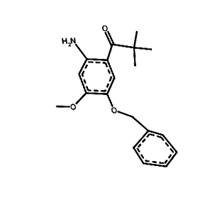 COc1cc(N)c(C(=O)C(C)(C)C)cc1OCc1ccccc1